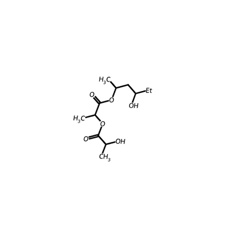 CCC(O)CC(C)OC(=O)C(C)OC(=O)C(C)O